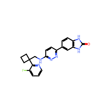 O=c1[nH]c2ccc(-c3ccc(NCC4(c5ncccc5F)CCC4)nn3)cc2[nH]1